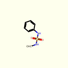 O=[C]NS(=O)(=O)Nc1ccccc1